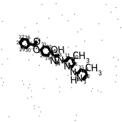 Cc1ccnc(Nc2cc(C)cc(-n3cnc(C4(O)CCC(OC(=O)c5ccccc5)CC4)c3)n2)c1